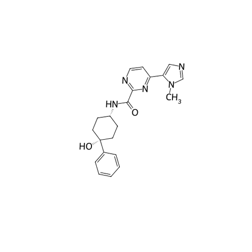 Cn1cncc1-c1ccnc(C(=O)N[C@H]2CC[C@](O)(c3ccccc3)CC2)n1